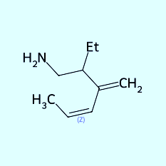 C=C(/C=C\C)C(CC)CN